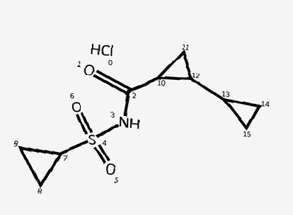 Cl.O=C(NS(=O)(=O)C1CC1)C1CC1C1CC1